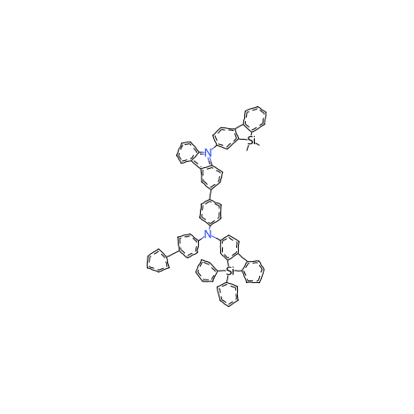 C[Si]1(C)c2ccccc2-c2ccc(-n3c4ccccc4c4cc(-c5ccc(N(c6ccc(-c7ccccc7)cc6)c6ccc7c(c6)[Si](c6ccccc6)(c6ccccc6)c6ccccc6-7)cc5)ccc43)cc21